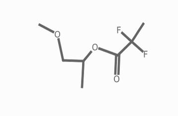 COCC(C)OC(=O)C(C)(F)F